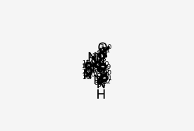 C=CC(=O)N1CCN(c2c(C#N)c(-c3cccc4c3CCN(C)C4)nc3c(Oc4c(C)ccc5[nH]cnc45)cccc23)CC1